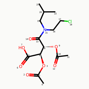 CC(=O)O[C@@H](C(=O)O)[C@@H](OC(C)=O)C(=O)N(CCCl)CC(C)C